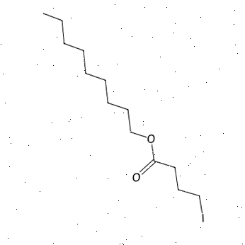 CCCCCCCCCOC(=O)CCCI